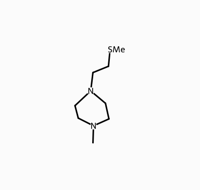 CSCCN1CCN(C)CC1